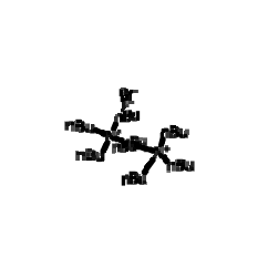 CCCC[N+](CCCC)(CCCC)CCCC.CCCC[N+](CCCC)(CCCC)CCCC.[Br-].[F-]